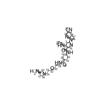 CC(C)Nc1cc(-n2ccc3cc(C#N)cnc32)ncc1C(=O)NC1CCC(C(=O)NCCCOCCCN2CC[C@@H](N)C2)CC1